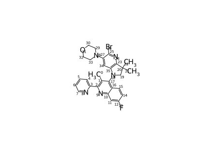 Cc1c(-c2ccccn2)nc2cc(F)ccc2c1N1CC(C)(C)c2nc(Br)c(N3CCOCC3)cc21